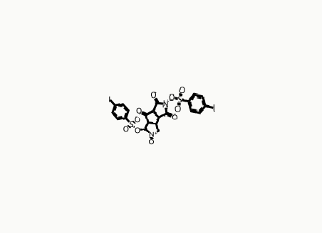 O=C1C2C(=O)N(OS(=O)(=O)c3ccc(I)cc3)C(=O)C2C2C[N+](=O)C(OS(=O)(=O)c3ccc(I)cc3)C12